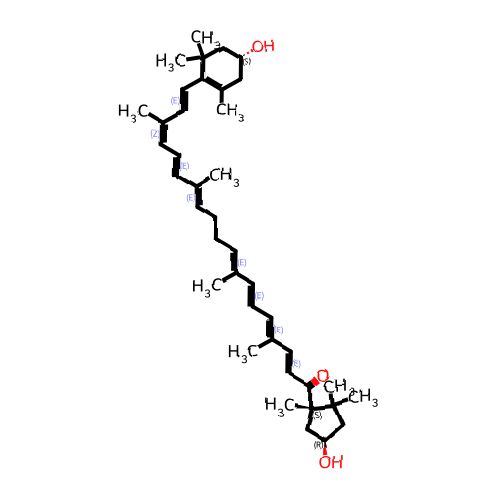 CC1=C(/C=C/C(C)=C\C=C\C(C)=C\CC/C=C(C)/C=C/C=C(C)/C=C/C(=O)[C@@]2(C)C[C@H](O)CC2(C)C)C(C)(C)C[C@H](O)C1